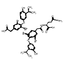 CC(C)c1cc(Oc2c(Br)cc(CC(=O)N[C@@H](CCC(N)=O)C(=O)O)cc2Br)ccc1O.CC(C)c1cc(Oc2c(Br)cc(CC(=O)O)cc2Br)ccc1O